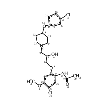 COc1cc(OCC(O)CN2CCC(Oc3ccc(Cl)cc3)CC2)c(NC(C)=O)cc1Cl